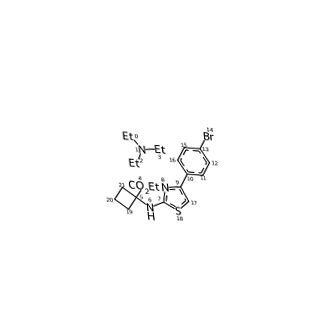 CCN(CC)CC.CCOC(=O)C1(Nc2nc(-c3ccc(Br)cc3)cs2)CCC1